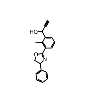 C#CC(O)c1cccc(C2=NC(c3ccccc3)CO2)c1F